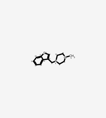 CN1CCN(Cc2[c]sc3ccccc23)CC1